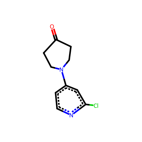 O=C1CCN(c2ccnc(Cl)c2)CC1